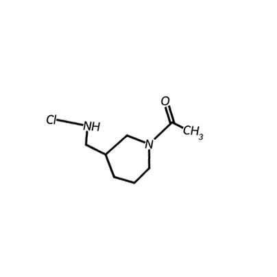 CC(=O)N1CCCC(CNCl)C1